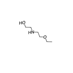 CCOCCNCCO